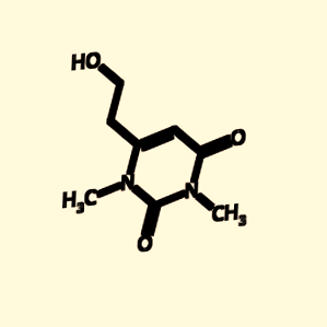 Cn1c(CCO)cc(=O)n(C)c1=O